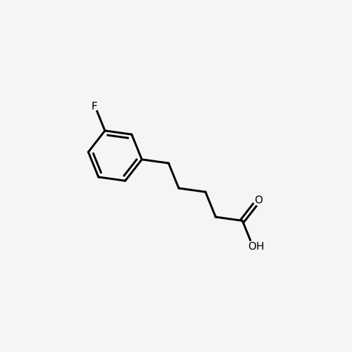 O=C(O)CCCCc1cccc(F)c1